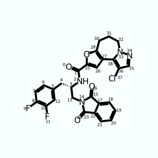 O=C(N[C@@H](Cc1ccc(F)c(F)c1)CN1C(=O)c2ccccc2C1=O)c1cc2c(o1)CCCn1ncc(Cl)c1-2